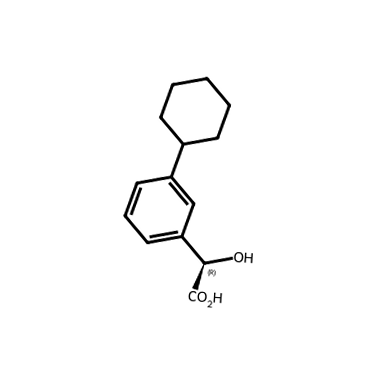 O=C(O)[C@H](O)c1cccc(C2CCCCC2)c1